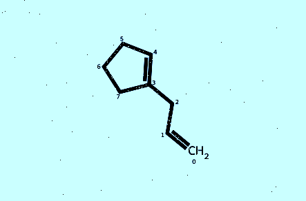 C=CCC1=CCCC1